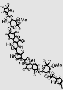 CO[C@H]1[C@H](OC(=O)c2ccc(C)[nH]2)[C@H](O)[C@@H](Oc2ccc3c(O)c(NC(=O)c4c[nH]c(C(=O)Nc5c(O)c6ccc(O[C@H]7OC(C)(C)[C@@H](OC)[C@H](OC(=O)c8ccc(C)[nH]8)[C@@H]7O)c(C)c6oc5=O)c4C)c(=O)oc3c2C)OC1(C)C